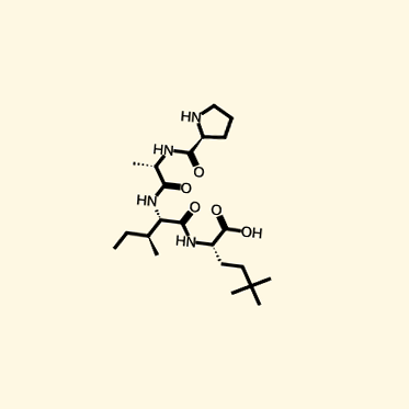 CC[C@H](C)[C@H](NC(=O)[C@H](C)NC(=O)[C@@H]1CCCN1)C(=O)N[C@@H](CCC(C)(C)C)C(=O)O